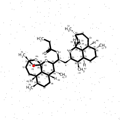 CCC(=O)O[C@@H](C[C@H]1O[C@@H]2O[C@]3(C)CC[C@H]4[C@H](C)CC[C@@H]([C@H]1C)[C@@]24OO3)C1O[C@@H]2O[C@]3(C)CC[C@H]4[C@H](C)CC[C@@H]([C@H]1C)[C@@]24OO3